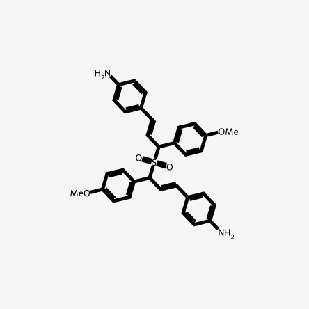 COc1ccc(C(C=Cc2ccc(N)cc2)S(=O)(=O)C(C=Cc2ccc(N)cc2)c2ccc(OC)cc2)cc1